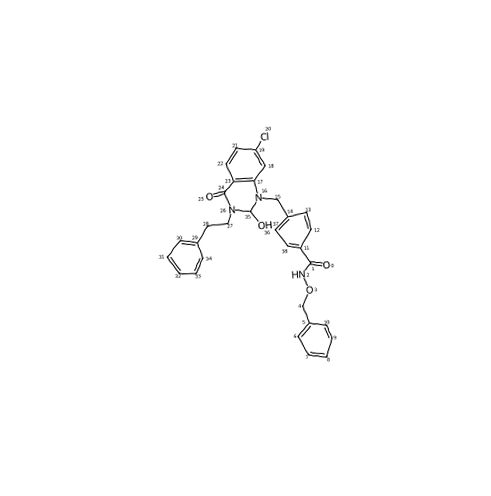 O=C(NOCc1ccccc1)c1ccc(CN2c3cc(Cl)ccc3C(=O)N(CCc3ccccc3)C2O)cc1